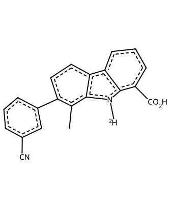 [2H]n1c2c(C(=O)O)cccc2c2ccc(-c3cccc(C#N)c3)c(C)c21